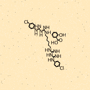 N=C(NCCCCCCNC(=N)NC(=N)Nc1ccc(Cl)cc1)NC(=N)Nc1ccc(Cl)cc1.O=C(O)c1ccccc1O